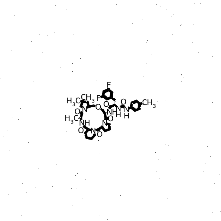 Cc1ccc(NC(=O)N[C@@H](Cc2cc(F)cc(F)c2)C(=O)N[C@H]2COCC3CC(C)(C)CN3C(=O)[C@H](C)NC(=O)C3CCCCN3C(=O)C3CCCN3C2=O)cc1